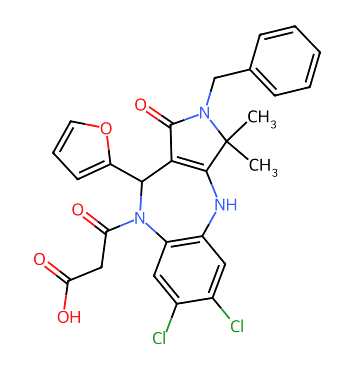 CC1(C)C2=C(C(=O)N1Cc1ccccc1)C(c1ccco1)N(C(=O)CC(=O)O)c1cc(Cl)c(Cl)cc1N2